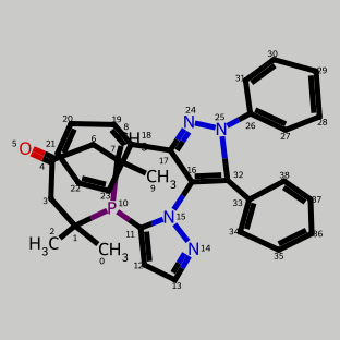 CC1(C)CC(=O)CC(C)(C)P1c1ccnn1-c1c(-c2ccccc2)nn(-c2ccccc2)c1-c1ccccc1